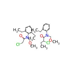 CCc1cccc(CC)c1N(COC)C(=O)CCl.CCc1ccccc1N(COC)C(=O)C(Cl)CC